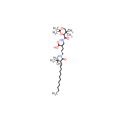 CCCCCCCCCCCCC(C(=O)NCCCC(CNC(=O)C1OC(C)(C)OCC1(C)C)C(=O)O)C(C)(C)C